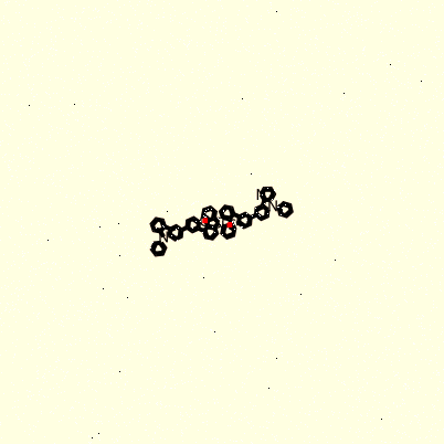 c1ccc(-n2c3ccccc3c3cc(-c4ccc5oc6c([Si](c7ccccc7)(c7ccccc7)c7cccc8c7sc7ccc(-c9ccc%10c(c9)c9ncccc9n%10-c9ccccc9)cc78)cccc6c5c4)ccc32)cc1